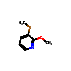 COc1ncccc1SC